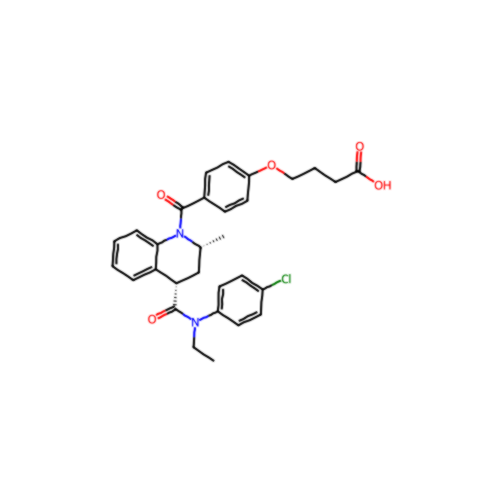 CCN(C(=O)[C@H]1C[C@@H](C)N(C(=O)c2ccc(OCCCC(=O)O)cc2)c2ccccc21)c1ccc(Cl)cc1